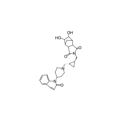 O=C1C2C3CC(C(O)C3O)C2C(=O)N1C[C@H]1C[C@@H]1CN1CCC(n2c(=O)ccc3ccccc32)CC1